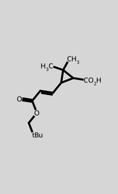 CC(C)(C)COC(=O)C=CC1C(C(=O)O)C1(C)C